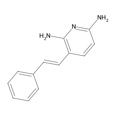 Nc1ccc(C=Cc2ccccc2)c(N)n1